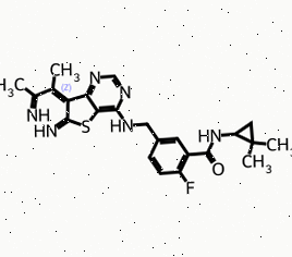 CC(=N)/C(C)=C1\C(=N)Sc2c(NCc3ccc(F)c(C(=O)NC4CC4(C)C)c3)ncnc21